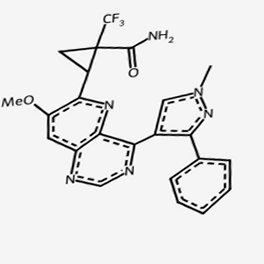 COc1cc2ncnc(-c3cn(C)nc3-c3ccccc3)c2nc1C1CC1(C(N)=O)C(F)(F)F